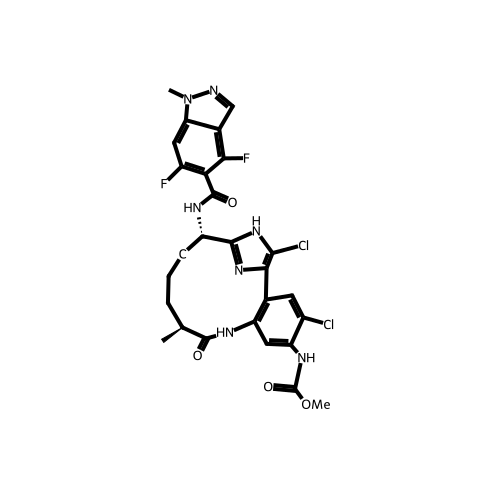 COC(=O)Nc1cc2c(cc1Cl)-c1nc([nH]c1Cl)[C@@H](NC(=O)c1c(F)cc3c(cnn3C)c1F)CCC[C@H](C)C(=O)N2